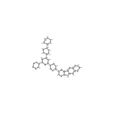 c1ccc(-c2cc(-c3ccc(-c4ccc5oc6nc7ccccc7cc6c5c4)cc3)nc(-c3ccc(-c4cccnc4)cc3)n2)cc1